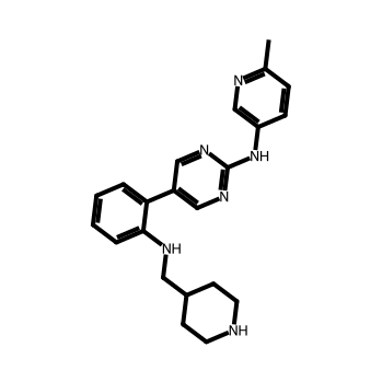 Cc1ccc(Nc2ncc(-c3ccccc3NCC3CCNCC3)cn2)cn1